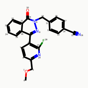 COCc1ccc(-c2nn(Cc3ccc(C#N)cc3)c(=O)c3ccccc23)c(F)n1